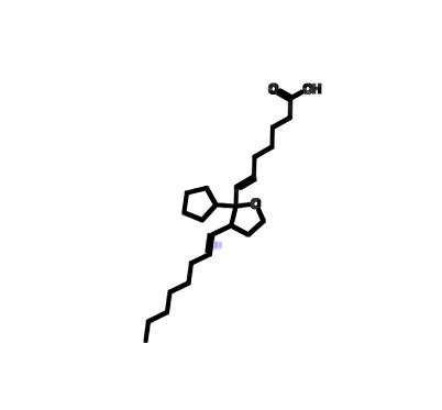 CCCCCC/C=C/C1CCOC1(C=CCCCCC(=O)O)C1CCCC1